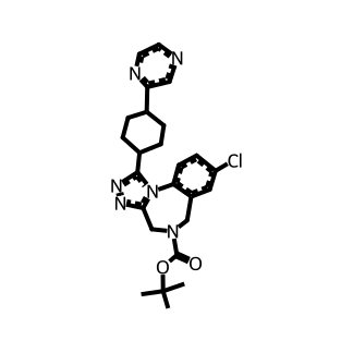 CC(C)(C)OC(=O)N1Cc2cc(Cl)ccc2-n2c(nnc2C2CCC(c3cnccn3)CC2)C1